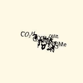 COC[C@H](NC(=O)c1cnc(C)s1)C(=O)N[C@@H](COC)C(=O)N[C@@H](Cc1ccccc1)C(=O)[C@@](C)(CI)OC(=O)CCC(=O)O